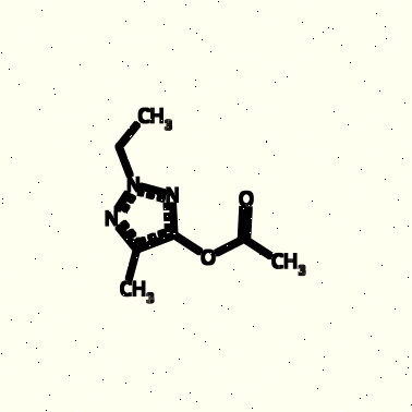 CCn1nc(C)c(OC(C)=O)n1